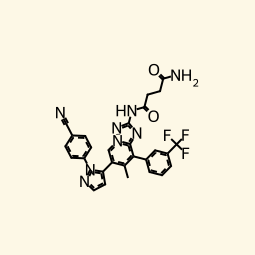 Cc1c(-c2ccnn2-c2ccc(C#N)cc2)cn2nc(NC(=O)CCC(N)=O)nc2c1-c1cccc(C(F)(F)F)c1